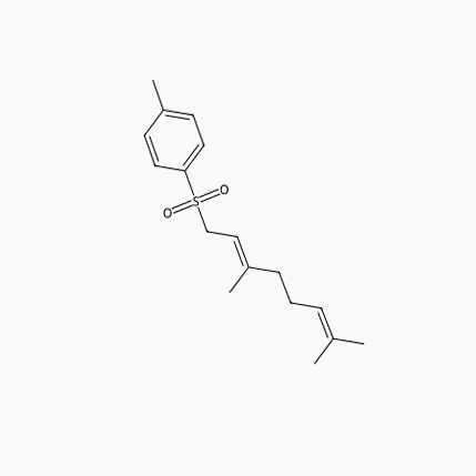 CC(C)=CCC/C(C)=C/CS(=O)(=O)c1ccc(C)cc1